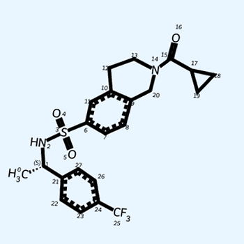 C[C@H](NS(=O)(=O)c1ccc2c(c1)CCN(C(=O)C1CC1)C2)c1ccc(C(F)(F)F)cc1